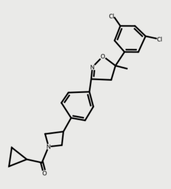 CC1(c2cc(Cl)cc(Cl)c2)CC(c2ccc(C3CN(C(=O)C4CC4)C3)cc2)=NO1